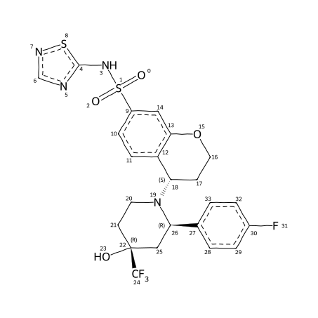 O=S(=O)(Nc1ncns1)c1ccc2c(c1)OCC[C@@H]2N1CC[C@](O)(C(F)(F)F)C[C@@H]1c1ccc(F)cc1